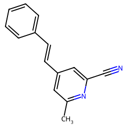 Cc1cc(C=Cc2ccccc2)cc(C#N)n1